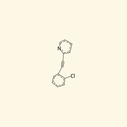 Clc1ccccc1C#Cc1ccccn1